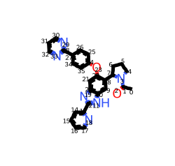 CC(=O)N1CCCC1c1cc2[nH]c(-c3ccccn3)nc2cc1Oc1ccc(-c2ncccn2)cc1